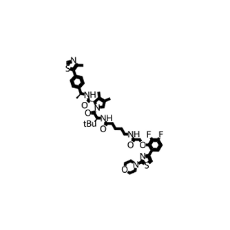 CC1=C(C)[C@@H](C(=O)N[C@@H](C)c2ccc(-c3scnc3C)cc2)N(C(=O)[C@@H](NC(=O)CCCCNC(=O)COc2c(-c3csc(N4CCOCC4)n3)ccc(F)c2F)C(C)(C)C)C1